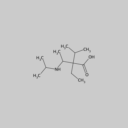 CCC(C(=O)O)(C(C)C)C(C)NC(C)C